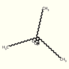 CCCCCCCCCCCCCCCCCCc1cc(CCCCCCCCCCCCCCCCCC)c(I=O)c(C(=O)O)c1CCCCCCCCCCCCCCCCCC